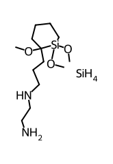 COC1(CCCNCCN)CCCC[Si]1(OC)OC.[SiH4]